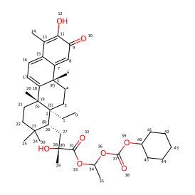 CC[C@@]12CC[C@@]3(C)C4=CC(=O)C(O)=C(C)C4=CC=C3[C@@]1(C)CCC(C)(C)[C@H]2C[C@@](C)(O)C(=O)OC(C)OC(=O)OC1CCCCC1